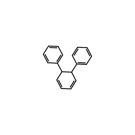 C1=CC(c2ccccc2)C(c2ccccc2)C=C1